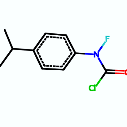 CC(C)c1ccc(N(F)C(=O)Cl)cc1